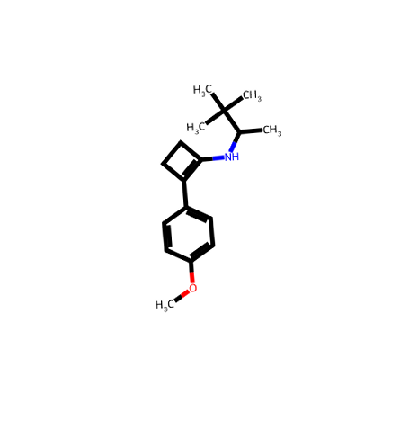 COc1ccc(C2=C(NC(C)C(C)(C)C)CC2)cc1